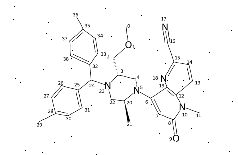 COC[C@@H]1CN(c2cc(=O)n(C)c3ccc(C#N)nc23)[C@@H](C)CN1C(c1ccc(C)cc1)c1ccc(C)cc1